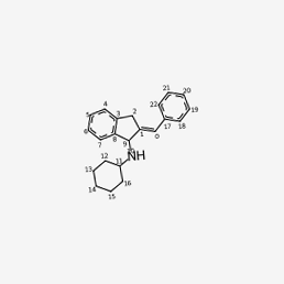 C(=C1/Cc2ccccc2C1NC1CCCCC1)/c1ccccc1